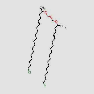 CC(CCC=CCCCCCCCCCCCCCCl)OCOCOC(C)CCC=CCCCCCCCCCCCCCCl